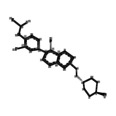 CC[C@H]1CC[C@H](CCc2ccc3c(F)c(-c4ccc(OC(F)F)c(F)c4)ccc3c2)CC1